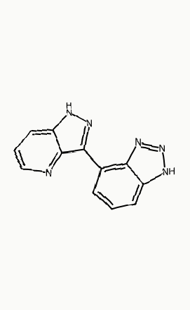 c1cc(-c2n[nH]c3cccnc23)c2nn[nH]c2c1